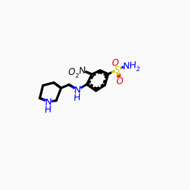 NS(=O)(=O)c1ccc(NCC2CCCNC2)c([N+](=O)[O-])c1